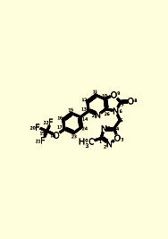 Cc1noc(Cn2c(=O)oc3ccc(-c4ccc(OC(F)(F)F)cc4)nc32)n1